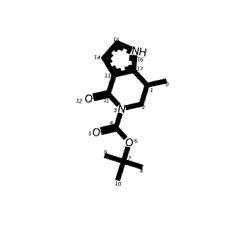 CC1CN(C(=O)OC(C)(C)C)C(=O)c2cc[nH]c21